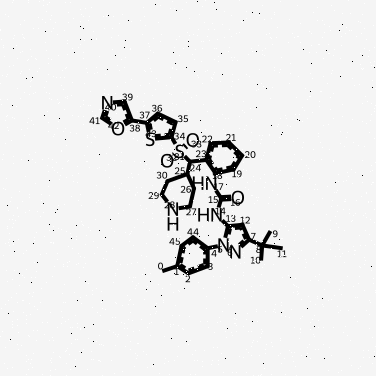 Cc1ccc(-n2nc(C(C)(C)C)cc2NC(=O)Nc2ccccc2C(C2CCNCC2)S(=O)(=O)c2ccc(-c3cnco3)s2)cc1